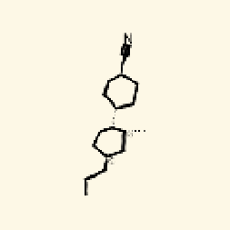 CCC[C@H]1CCC([C@H]2CC[C@H](C#N)CC2)[C@H](C)C1